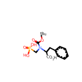 CC(C)(C)OC(=O)N(CP(=O)(O)O)C(Cc1ccccc1)C(=O)O